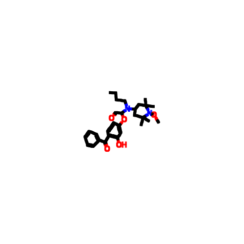 CCCCN(C1CC(C)(C)N(OC)C(C)(C)C1)C(C=O)Oc1ccc(C(=O)c2ccccc2)c(O)c1